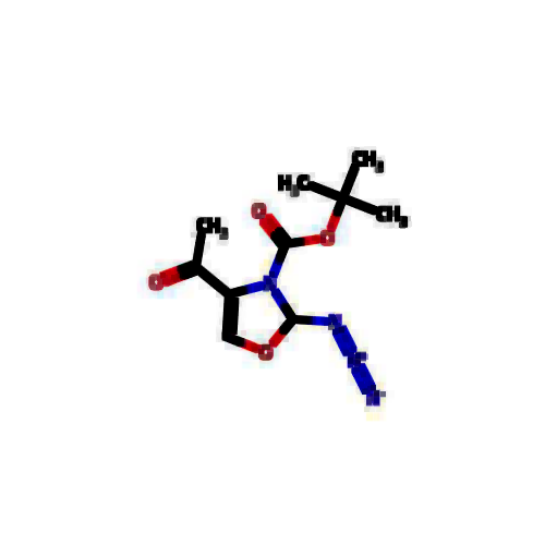 CC(=O)C1=COC(N=[N+]=[N-])N1C(=O)OC(C)(C)C